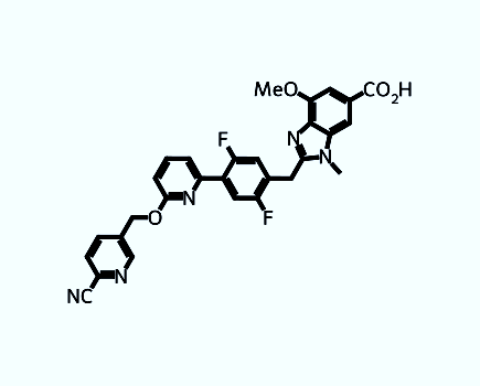 COc1cc(C(=O)O)cc2c1nc(Cc1cc(F)c(-c3cccc(OCc4ccc(C#N)nc4)n3)cc1F)n2C